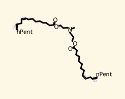 CCCCC/C=C\C/C=C\CCCCCCCC(=O)OCCCN(C)CCCOC(=O)CCCCCCC/C=C\C/C=C\CCCCC